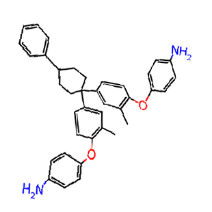 Cc1cc(C2(c3ccc(Oc4ccc(N)cc4)c(C)c3)CCC(c3ccccc3)CC2)ccc1Oc1ccc(N)cc1